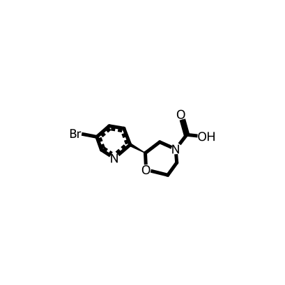 O=C(O)N1CCO[C@@H](c2ccc(Br)cn2)C1